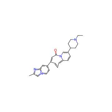 CCN1CCC(C2=CN3C(=O)\C=C(c4ccn5cc(C)nc5c4)/C=C/C=C/3C=C2)CC1